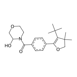 CC(C)(C)C1=C(c2ccc(C(=O)N3CCOCC3O)cc2)OCC1(C)C